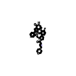 COc1c(F)cccc1Nn1c(-c2ccncc2OC[C@H]2CCCN2C(=O)/C=C/CN2CCOCC2)cc2c1CCNC2=O